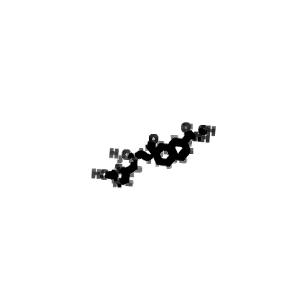 CN(CC[C@]1(C=O)CCc2ccc(C(=O)NO)cc2C1)Cc1cnc(O)s1